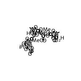 C=C1C[C@H]2[C@H](O)N(C(=O)OCc3ccc(NC(=O)[C@H](C)NC(=O)[C@@H](NC(=O)CCN4C(=O)C=CC4=O)C(C)C)cc3)c3cc(OCc4cc(C(=O)OC)cc(COc5cc6c(cc5OC)C(=O)N5CC(=C)C[C@H]5[C@H](OC5CCCCO5)N6C(=O)O)n4)c(OC)cc3C(=O)N2C1